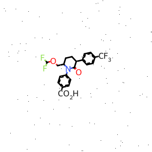 O=C(O)c1ccc(N2C(=O)C(c3ccc(C(F)(F)F)cc3)CCC2COC(F)F)cc1